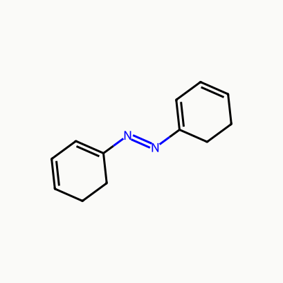 C1=CCCC(N=NC2=CC=CCC2)=C1